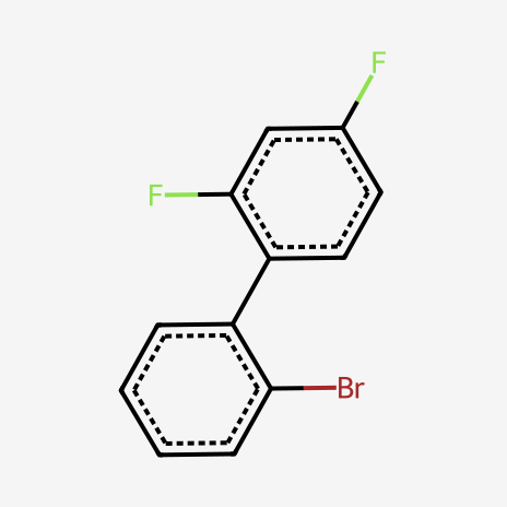 Fc1ccc(-c2ccccc2Br)c(F)c1